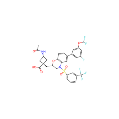 CC(=O)N[C@H]1C[C@](C[C@H]2CN(S(=O)(=O)c3cccc(C(F)(F)F)c3)c3cc(-c4cc(F)cc(OC(F)F)c4)ccc3O2)(C(=O)O)C1